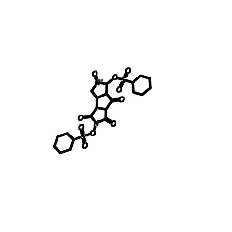 O=C1C2C(=O)N(OS(=O)(=O)C3CCCCC3)C(=O)C2C2C[N+](=O)C(OS(=O)(=O)C3CCCCC3)C12